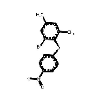 Cc1cc(C)c(Oc2ccc([N+](=O)[O-])cc2)c(Br)c1